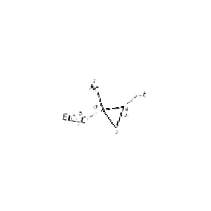 CCOC(=O)[C@@]1(C(C)=O)C[C@H]1CC